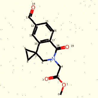 COC(=O)CN1CC2(CC2)c2cc(C=O)ccc2C1=O